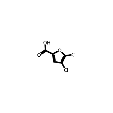 O=C(O)c1cc(Cl)c(Cl)o1